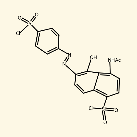 CC(=O)Nc1ccc(S(=O)(=O)Cl)c2ccc(N=Nc3ccc(S(=O)(=O)Cl)cc3)c(O)c12